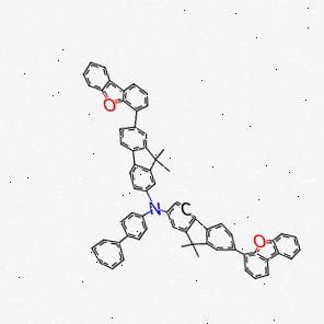 CC1(C)c2cc(-c3cccc4c3oc3ccccc34)ccc2-c2ccc(N(c3ccc(-c4ccccc4)cc3)c3ccc4c(c3)C(C)(C)c3cc(-c5cccc6c5oc5ccccc56)ccc3-4)cc21